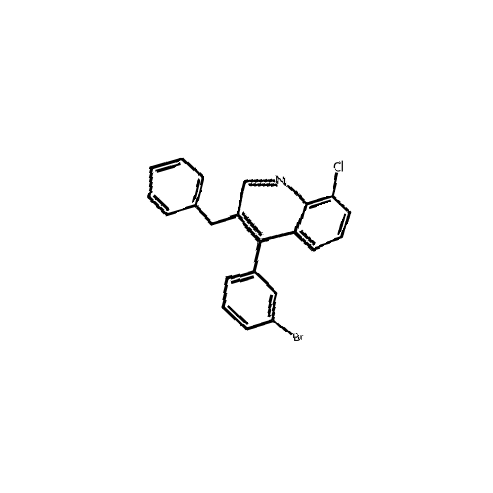 Clc1cccc2c(-c3cccc(Br)c3)c(Cc3ccccc3)cnc12